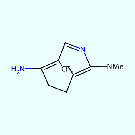 CNC1=C(/C)CC/C(N)=C(C(F)(F)F)/C=N\1